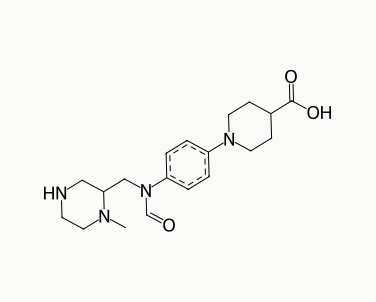 CN1CCNCC1CN(C=O)c1ccc(N2CCC(C(=O)O)CC2)cc1